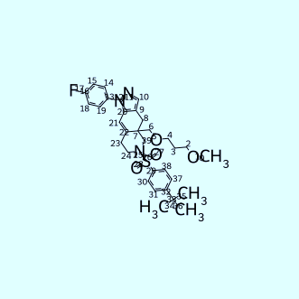 COCCCOCC12Cc3cnn(-c4ccc(F)cc4)c3C=C1CCN(S(=O)(=O)c1ccc(C(C)(C)C)cc1)C2